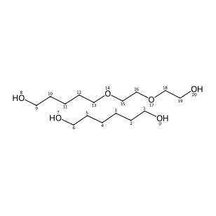 OCCCCCCO.OCCCCCOCCOCCO